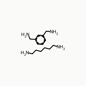 NCCCCCCN.NCc1cccc(CN)c1